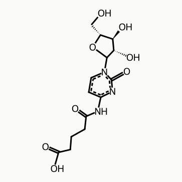 O=C(O)CCCC(=O)Nc1ccn(C2O[C@H](CO)[C@@H](O)[C@@H]2O)c(=O)n1